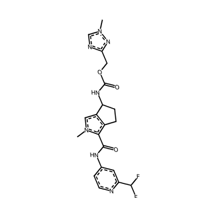 Cn1cnc(COC(=O)NC2CCc3c2cn(C)c3C(=O)Nc2ccnc(C(F)F)c2)n1